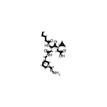 CCCCC(=O)N[C@@H](CC(=O)NC[C@@H]1CCCN(C=NN)C1)C(=O)N(CC(=O)O)C1CC1